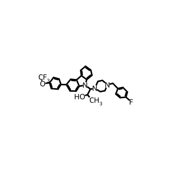 CC(O)C(N1CCN(Cc2ccc(F)cc2)CC1)n1c2ccccc2c2cc(-c3ccc(OC(F)(F)F)cc3)ccc21